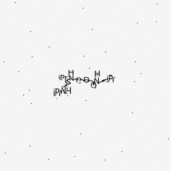 CC(C)C#CCNC(=O)CCOCCOCCNC(SSCCNC(C)C)C(C)C